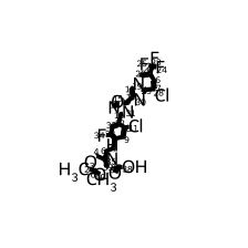 CC1(C)OCC(CCc2cc(Cl)c(-c3noc(-c4cn5cc(C(F)(F)F)cc(Cl)c5n4)n3)cc2F)(NC(=O)O)CO1